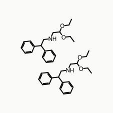 CCOC(CNCC(c1ccccc1)c1ccccc1)OCC.CCOC(CNCC(c1ccccc1)c1ccccc1)OCC